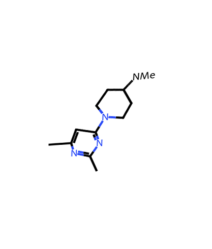 CNC1CCN(c2cc(C)nc(C)n2)CC1